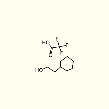 O=C(O)C(F)(F)F.OCCC1CCCCC1